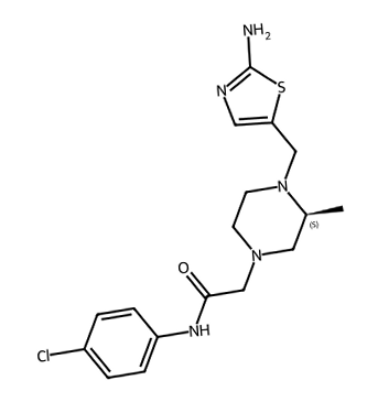 C[C@H]1CN(CC(=O)Nc2ccc(Cl)cc2)CCN1Cc1cnc(N)s1